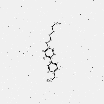 CCCCCCCCCCCCCCOc1cnc(-c2ccc(CCCCCCCCCCC)cc2)nc1